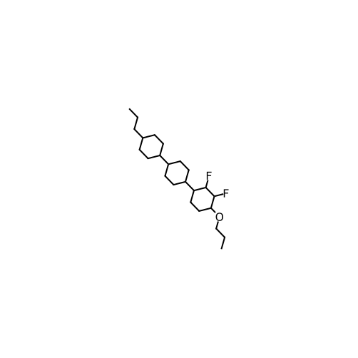 CCCOC1CCC(C2CCC(C3CCC(CCC)CC3)CC2)C(F)C1F